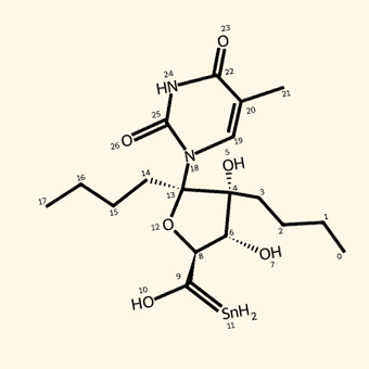 CCCC[C@@]1(O)[C@H](O)[C@@H]([C](O)=[SnH2])O[C@@]1(CCCC)n1cc(C)c(=O)[nH]c1=O